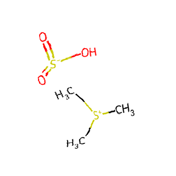 C[S+](C)C.O=[S-](=O)O